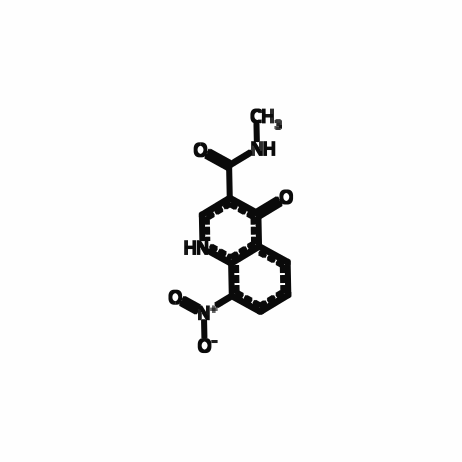 CNC(=O)c1c[nH]c2c([N+](=O)[O-])cccc2c1=O